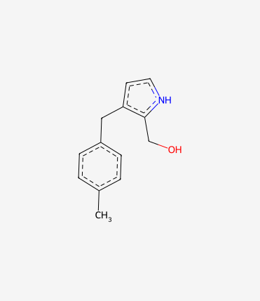 Cc1ccc(Cc2cc[nH]c2CO)cc1